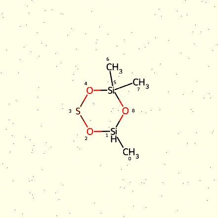 C[SiH]1OSO[Si](C)(C)O1